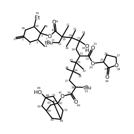 C=C1CC(C)C(C)(OC(=O)C(C)(CC(C)(C)C)C(C)(C)C(C)(O)CC(C(=O)OC2CCOC2=O)C(C)(C)C(C)(C)CC(C(=O)OC23CC4CC(CC(O)(C4)C2)C3)C(C)(C)C)C(CC)C1